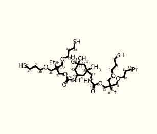 CCC(COCCCS)(COCCC(C)C)COC(=O)NCC1(C)CC(NC(=O)OCC(CC)(COCCCS)COCCCS)CC(C)(C)C1